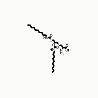 CCCCCCCCCCNC(=O)OCC(CSCC(N)C(=O)O)OC(=O)NCCCCCCCCCC